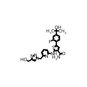 CC(C)(O)c1ccc(-c2cc(C(N)=O)c(Nc3cccc(Cn4cc(CO)nn4)n3)s2)c(F)c1